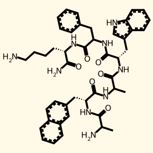 CC(N)C(=O)N[C@H](Cc1ccc2ccccc2c1)C(=O)NC(C)C(=O)N[C@@H](Cc1c[nH]c2ccccc12)C(=O)NC(Cc1ccccc1)C(=O)N[C@@H](CCCCN)C(N)=O